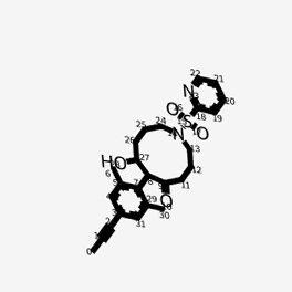 CC#Cc1cc(C)c(C2C(=O)CCCN(S(=O)(=O)c3ccccn3)CCCC2O)c(C)c1